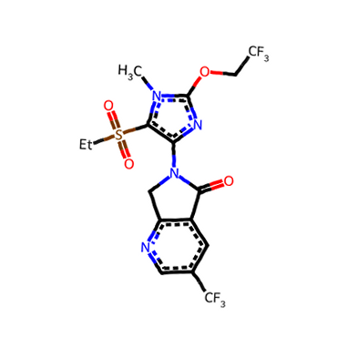 CCS(=O)(=O)c1c(N2Cc3ncc(C(F)(F)F)cc3C2=O)nc(OCC(F)(F)F)n1C